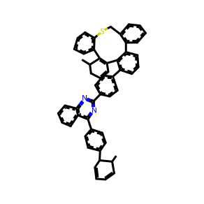 CC1CC=CC2=C1c1ccccc1SCc1ccccc1-c1cccc(-c3ccc(-c4nc(-c5ccc(C6C=CC=CC6C)cc5)c5ccccc5n4)cc3)c12